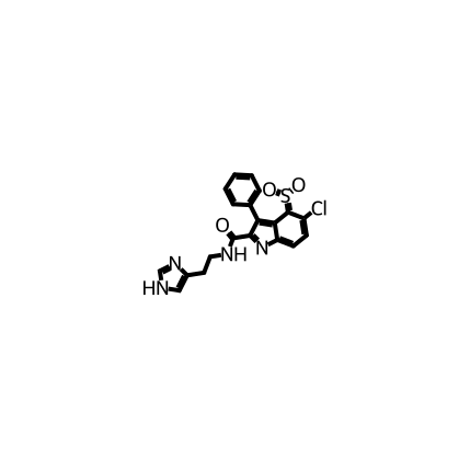 O=C(NCCc1c[nH]cn1)C1=NC2=CC=C(Cl)C(=S(=O)=O)C2=C1c1ccccc1